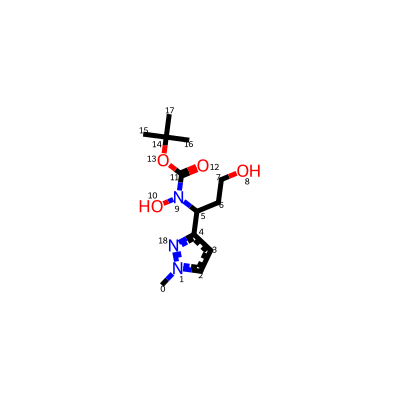 Cn1ccc(C(CCO)N(O)C(=O)OC(C)(C)C)n1